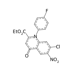 CCOC(=O)c1cc(=O)c2cc([N+](=O)[O-])c(Cl)cc2n1-c1ccc(F)cc1